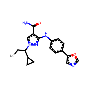 N#CCC(C1CC1)n1cc(C(N)=O)c(Nc2ccc(-c3cnco3)cc2)n1